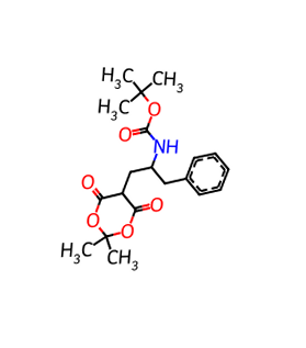 CC(C)(C)OC(=O)NC(Cc1ccccc1)CC1C(=O)OC(C)(C)OC1=O